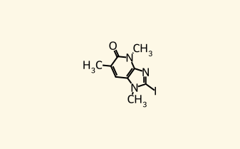 Cc1cc2c(nc(I)n2C)n(C)c1=O